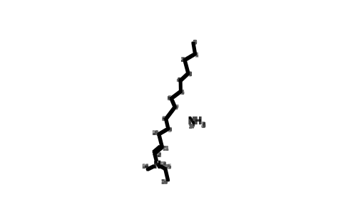 CCCCCCCCCCCC=CN(C)CC.N